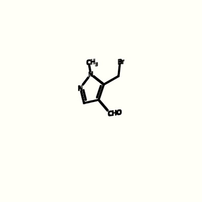 Cn1ncc(C=O)c1CBr